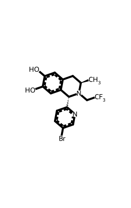 C[C@@H]1Cc2cc(O)c(O)cc2[C@@H](c2ccc(Br)cn2)N1CC(F)(F)F